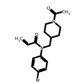 C=CC(=O)N(CC1CCN(C(C)=O)CC1)c1ccc(Br)cc1